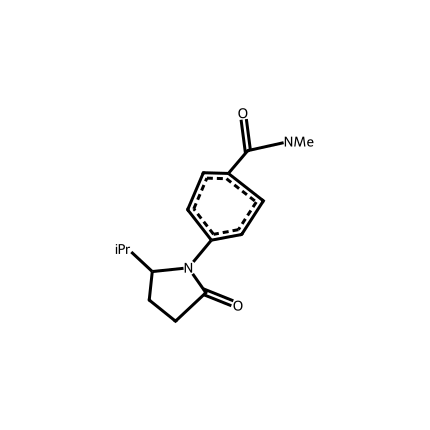 CNC(=O)c1ccc(N2C(=O)CCC2C(C)C)cc1